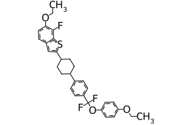 CCOc1ccc(OC(F)(F)c2ccc(C3CCC(c4cc5ccc(OCC)c(F)c5s4)CC3)cc2)cc1